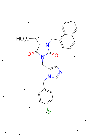 O=C(O)CC1C(=O)N(Cc2cncn2Cc2ccc(Br)cc2)C(=O)N1Cc1cccc2ccccc12